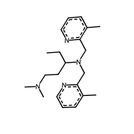 CCC(CCN(C)C)N(Cc1ncccc1C)Cc1ncccc1C